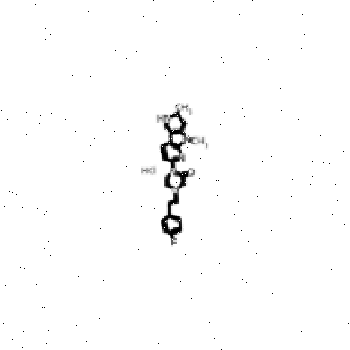 CC1Cc2c(c3ccc(N4CCN(CCc5ccc(F)cc5)CC4=O)nc3n2C)CN1.Cl